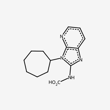 O=C(O)Nc1nc2cccnc2n1C1CCCCCC1